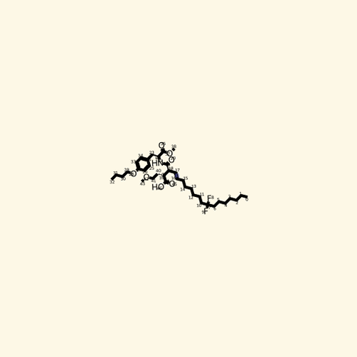 CCCCCCCC(F)(F)CCCCCC/C=C/[C@H](C(=O)N[C@@H](Cc1ccc(OCCCC)cc1)C(=O)OC)[C@@H](CCOC)C(=O)O